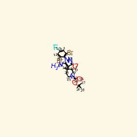 COc1nn(-c2c(Br)cc(F)cc2Br)c(N)c1C1(C)CCN(C(=O)OC(C)(C)C)CC1